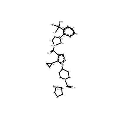 O=C(c1cnn(C2CCN(C(=O)[C@@H]3CCCN3)CC2)c1C1CC1)N1CC[C@@H](c2ccccc2C(F)(F)F)C1